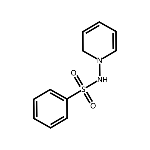 O=S(=O)(NN1C=CC=CC1)c1ccccc1